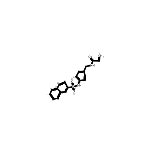 C=CC(=O)NCc1ccc(NS(=O)(=O)c2ccc3ccccc3c2)cc1